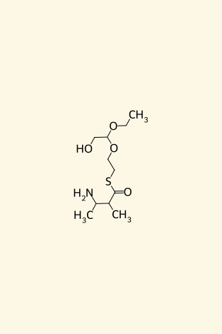 CCOC(CO)OCCSC(=O)C(C)C(C)N